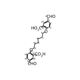 O=Cc1ccc(OCCCCCCOc2ccc(C=O)cc2C(=O)O)c(C(=O)O)c1